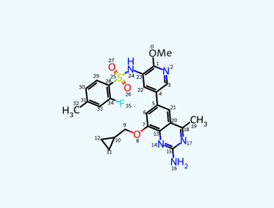 COc1ncc(-c2cc(OCC3CC3)c3nc(N)nc(C)c3c2)cc1NS(=O)(=O)c1ccc(C)cc1F